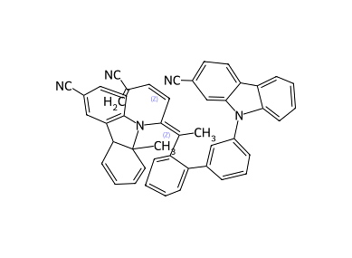 C=C(C#N)/C=C\C(=C(/C)c1ccccc1-c1cccc(-n2c3ccccc3c3ccc(C#N)cc32)c1)N1c2ccc(C#N)cc2C2C=CC=CC21C